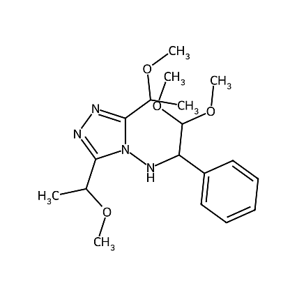 COC(C)c1nnc(C(C)OC)n1NC(c1ccccc1)C(OC)OC